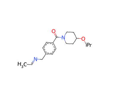 C/C=N/Cc1ccc(C(=O)N2CCC(OC(C)C)CC2)cc1